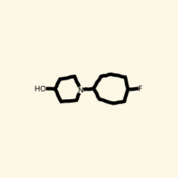 OC1CCN(C2CCCC(F)CCC2)CC1